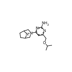 CC(C)OCc1cc(N2CC3CCC(C2)N3C)nc(N)n1